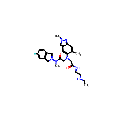 CCNCCNC(=O)CN(CC(=O)N(C)N1Cc2ccc(F)cc2C1)c1cc2cn(C)nc2cc1C